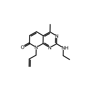 C=CCn1c(=O)ccc2c(C)nc(NCC)nc21